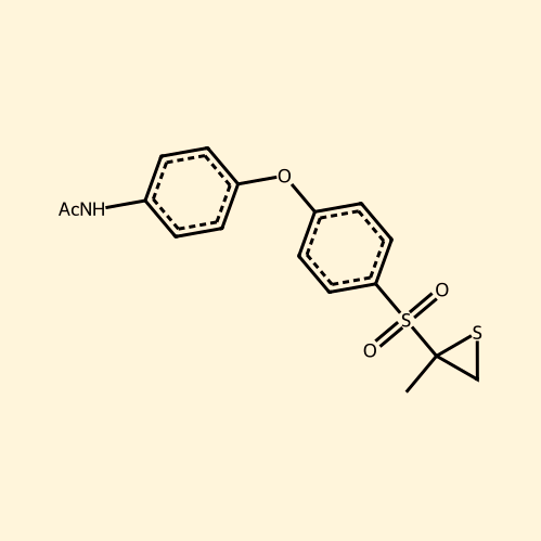 CC(=O)Nc1ccc(Oc2ccc(S(=O)(=O)C3(C)CS3)cc2)cc1